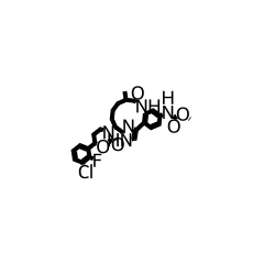 COC(=O)Nc1ccc2c(c1)NC(=O)C(C)CCCC(N1CCC(c3cccc(Cl)c3F)OC1=O)c1nc-2c[nH]1